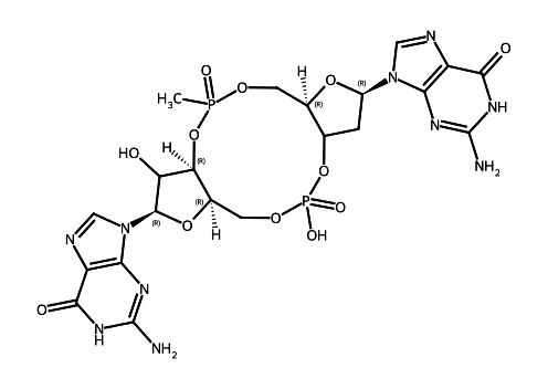 CP1(=O)OC[C@H]2O[C@@H](n3cnc4c(=O)[nH]c(N)nc43)CC2OP(=O)(O)OC[C@H]2O[C@@H](n3cnc4c(=O)[nH]c(N)nc43)C(O)[C@H]2O1